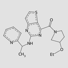 CCOC1CCN(C(=O)c2nc(NC(C)c3ccccn3)nc3ccsc23)C1